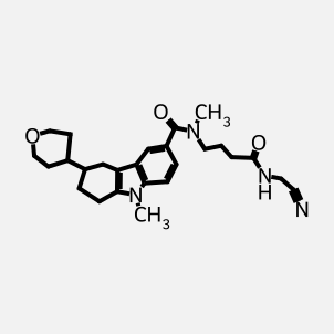 CN(CCCC(=O)NCC#N)C(=O)c1ccc2c(c1)c1c(n2C)CCC(C2CCOCC2)C1